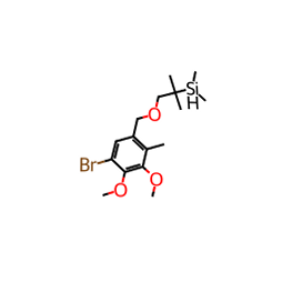 COc1c(Br)cc(COCC(C)(C)[SiH](C)C)c(C)c1OC